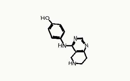 Oc1ccc(Nc2ncnc3c2CNCC3)cc1